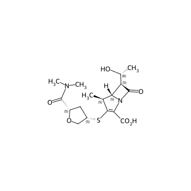 C[C@@H]1C(S[C@@H]2CO[C@H](C(=O)N(C)C)C2)=C(C(=O)O)N2C(=O)[C@H]([C@@H](C)O)[C@@H]12